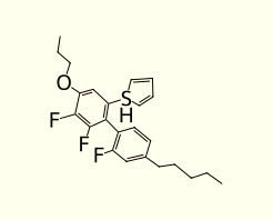 CCCCCc1ccc(-c2c([SH]3C=CC=C3)cc(OCCC)c(F)c2F)c(F)c1